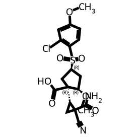 COc1ccc(S(=O)(=O)[C@H]2C[C@@H](OC)[C@](C(=O)O)(C3CC3(C#N)C(N)=O)C2)c(Cl)c1